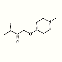 CC(C)C(=O)COC1CCN(C)CC1